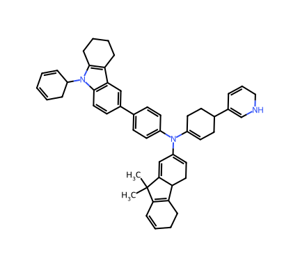 CC1(C)C2=CC(N(C3=CCC(C4=CNCC=C4)CC3)c3ccc(-c4ccc5c(c4)c4c(n5C5C=CC=CC5)CCCC4)cc3)=CCC2C2=C1C=CCC2